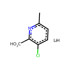 Cc1ccc(Cl)c(C(=O)O)n1.[LiH]